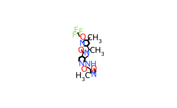 Cc1cc(C(C)N2Cc3c(ccnc3NC(=O)c3ocnc3C)C2=O)cnc1OCC(F)(F)F